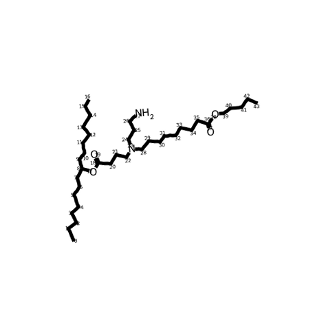 CCCCCCCCC(CCCCCCCC)OC(=O)CCCN(CCCN)CCCCCCCCC(=O)OCCCCC